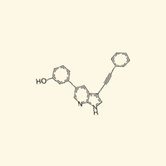 Oc1cccc(-c2cnc3[nH]cc(C#Cc4ccccc4)c3c2)c1